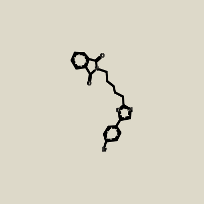 O=C1c2ccccc2C(=O)N1CCCCCc1ncc(-c2ccc(Br)cc2)o1